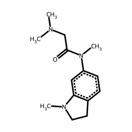 CN(C)CC(=O)N(C)c1ccc2c(c1)N(C)CC2